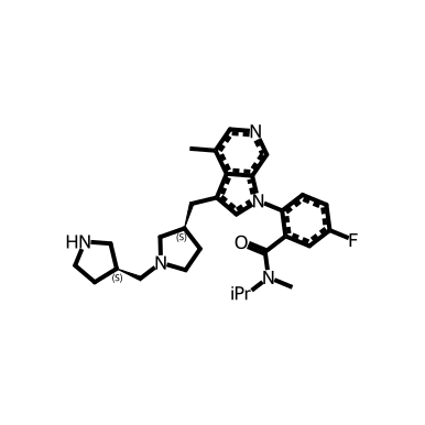 Cc1cncc2c1c(C[C@H]1CCN(C[C@H]3CCNC3)C1)cn2-c1ccc(F)cc1C(=O)N(C)C(C)C